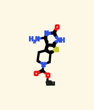 CC(C)(C)OC(=O)N1CCc2c(sc3[nH]c(=O)nc(N)c23)C1